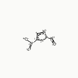 O=Nc1ncc([N+](=O)[O-])s1